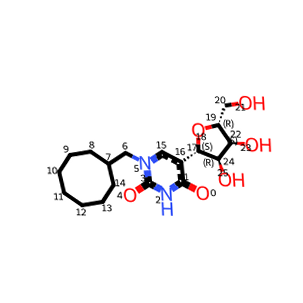 O=c1[nH]c(=O)n(CC2CCCCCCC2)cc1[C@@H]1O[C@H](CO)[C@@H](O)[C@H]1O